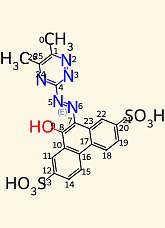 Cc1nnc(/N=N/c2c(O)c3cc(S(=O)(=O)O)ccc3c3ccc(S(=O)(=O)O)cc23)nc1C